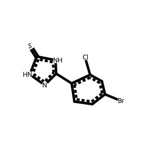 S=c1[nH]nc(-c2ccc(Br)cc2Cl)[nH]1